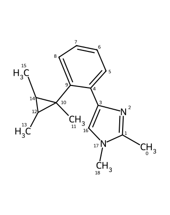 Cc1nc(-c2ccccc2C2(C)C(C)C2C)cn1C